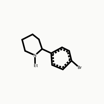 CCN1CCCCC1c1ccc(Br)cc1